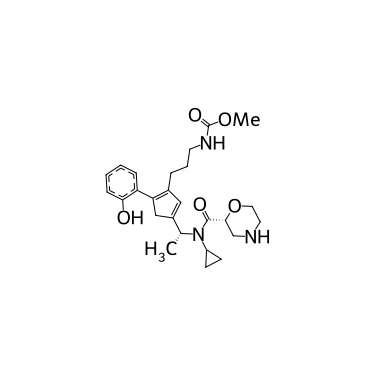 COC(=O)NCCCC1=C(c2ccccc2O)CC([C@@H](C)N(C(=O)[C@H]2CNCCO2)C2CC2)=C1